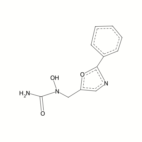 NC(=O)N(O)Cc1cnc(-c2ccccc2)o1